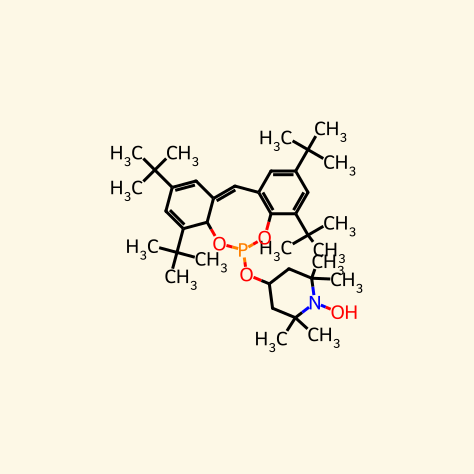 CC(C)(C)C1=C/C2=C/c3cc(C(C)(C)C)cc(C(C)(C)C)c3OP(OC3CC(C)(C)N(O)C(C)(C)C3)OC2C(C(C)(C)C)=C1